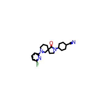 N#CC1CCC(N2CCC3(CCCN(c4cccc(F)n4)C3)C2=O)CC1